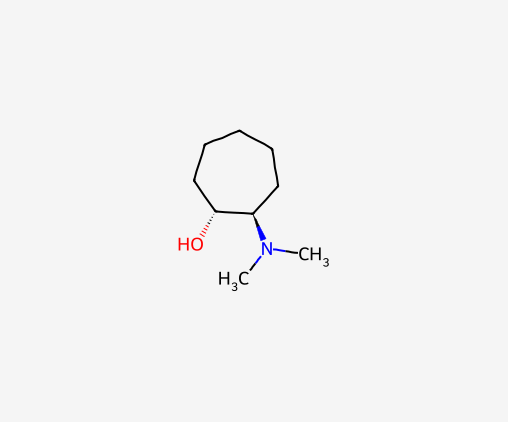 CN(C)[C@@H]1CCCCC[C@H]1O